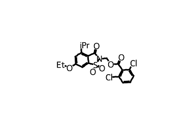 CCOc1cc(C(C)C)c2c(c1)S(=O)(=O)N(COC(=O)c1c(Cl)cccc1Cl)C2=O